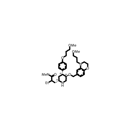 CCC(C[C@@H]1C[C@H](c2ccc(OCCCOC)cc2)[C@@H](OCc2ccc3c(c2)N(CCCOC)CCO3)CN1)C(=O)NC